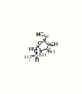 CS(=O)(=O)NC1C(O)OC(CO)C(O)C1O